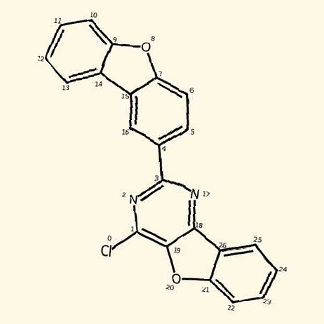 Clc1nc(-c2ccc3oc4ccccc4c3c2)nc2c1oc1ccccc12